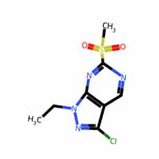 CCn1nc(Cl)c2cnc(S(C)(=O)=O)nc21